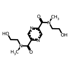 CN(CCO)C(=O)c1cnc(C(=O)N(C)CCO)cn1